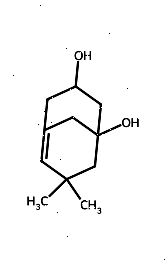 CC1(C)C=C2CC(O)CC(O)(C2)C1